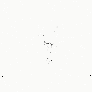 CCCSc1nc(N[C@@H]2C[C@H]2c2ccc(F)c(F)c2)c2nnn([C@@H]3C[C@H](OCCN=[N+]=[N-])[C@H]4OC(C)(C)OC34)c2n1